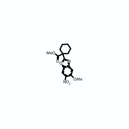 COC(=O)C1(c2nc3cc(OC)c([N+](=O)[O-])cc3o2)CCCCC1